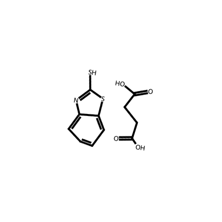 O=C(O)CCC(=O)O.Sc1nc2ccccc2s1